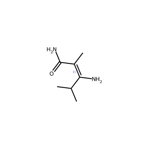 C/C(C(N)=O)=C(\N)C(C)C